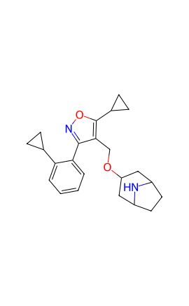 c1ccc(C2CC2)c(-c2noc(C3CC3)c2COC2CC3CCC(C2)N3)c1